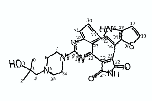 CC(C)(O)CN1CCN(c2nc(C3=C(c4c[nH]c5ccsc45)C(=O)NC3=O)c3ccccc3n2)CC1